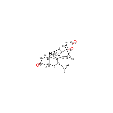 C[C@]12CCC3C(C(C4CC4)CC4=CC(=O)CC[C@@H]43)C1C1CC1[C@@]21C=CC(=O)O1